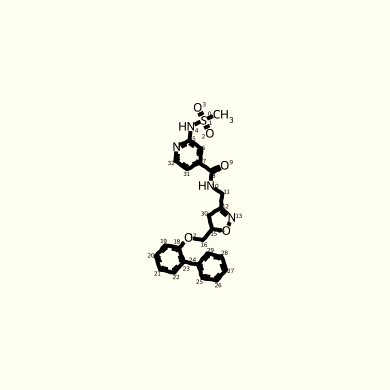 CS(=O)(=O)Nc1cc(C(=O)NCC2=NOC(COc3ccccc3-c3ccccc3)C2)ccn1